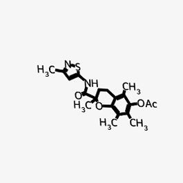 CC(=O)Oc1c(C)c(C)c2c(c1C)CCC(C)(C(=O)Nc1cc(C)ns1)O2